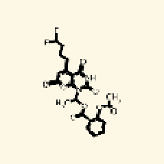 CC(=O)Oc1ccccc1C(=O)OC(C)n1c(=O)[nH]c(=O)c2c(CCCC(F)F)cc(=O)oc21